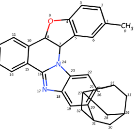 Cc1ccc2c(c1)C1C(O2)c2ccccc2-c2nc3cc4c(cc3n21)C1CC2CC(CC4C2)C1